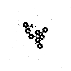 CC(C)n1c2ccccc2c2ccc(-c3cccc(N(c4ccc5c(c4)oc4ccccc45)c4cccc5c4c4ccccc4n5-c4ccccc4)c3)cc21